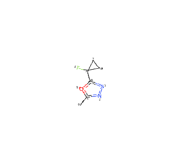 Cc1nnc(C2(F)CC2)o1